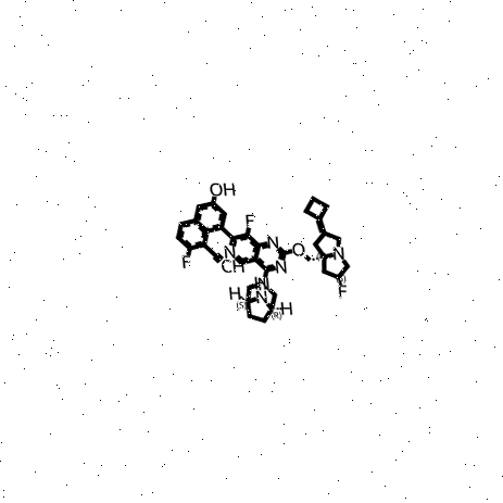 C#Cc1c(F)ccc2cc(O)cc(-c3ncc4c(N5C[C@H]6CC[C@@H](C5)N6)nc(OC[C@]56CC(=C7CCC7)CN5C[C@@H](F)C6)nc4c3F)c12